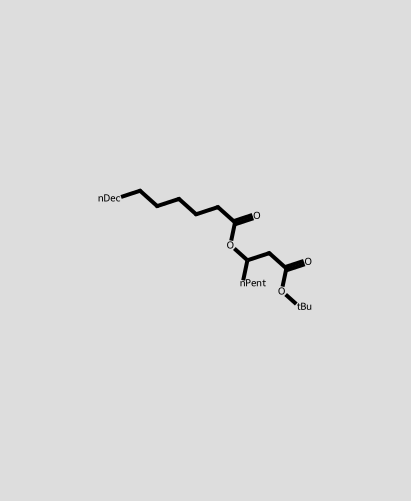 CCCCCCCCCCCCCCCC(=O)OC(CCCCC)CC(=O)OC(C)(C)C